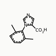 Cc1cccc(C)c1-n1cncc1C(=O)O